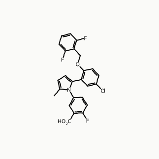 Cc1ccc(-c2cc(Cl)ccc2OCc2c(F)cccc2F)n1-c1ccc(F)c(C(=O)O)c1